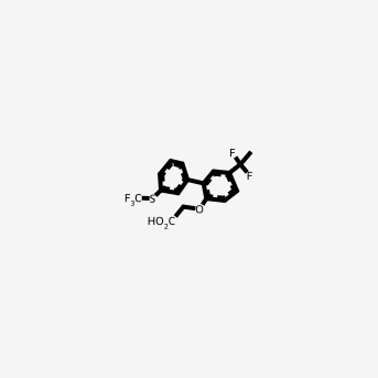 CC(F)(F)c1ccc(OCC(=O)O)c(-c2cccc(SC(F)(F)F)c2)c1